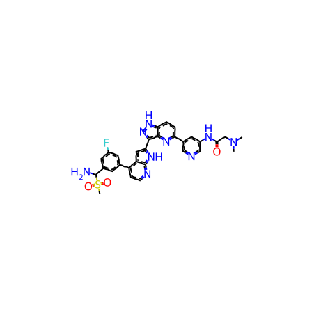 CN(C)CC(=O)Nc1cncc(-c2ccc3[nH]nc(-c4cc5c(-c6cc(F)cc(C(N)S(C)(=O)=O)c6)ccnc5[nH]4)c3n2)c1